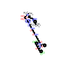 CC(C)N(C[C@H]1O[C@@H](n2cnc3c(NCCCCNC(=O)CCCC(=O)NCCCCCCCC(=O)N[C@H](Cc4ccccc4)C(=O)N4C/C(=C\c5ccc(Cl)c(Cl)c5)C(=O)/C(=C/c5ccc(Cl)c(Cl)c5)C4)ncnc32)C(O)C1O)C1CC(CCc2nc3cc(C(C)(C)C)ccc3[nH]2)C1